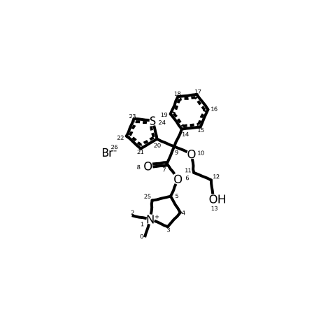 C[N+]1(C)CCC(OC(=O)C(OCCO)(c2ccccc2)c2cccs2)C1.[Br-]